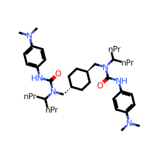 CCCC(CCC)N(C[C@H]1CC[C@H](CN(C(=O)Nc2ccc(N(C)C)cc2)C(CCC)CCC)CC1)C(=O)Nc1ccc(N(C)C)cc1